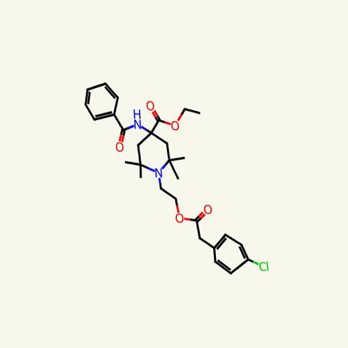 CCOC(=O)C1(NC(=O)c2ccccc2)CC(C)(C)N(CCOC(=O)Cc2ccc(Cl)cc2)C(C)(C)C1